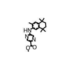 COC(=O)c1cnc(Nc2cc3c(cc2C)C(C)(C)CCC3(C)C)cn1